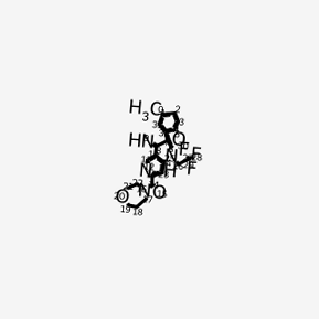 Cc1ccc2occ(C(=N)c3cnc(C(=O)N4CCCOCC4)cc3NCC(F)(F)F)c2c1